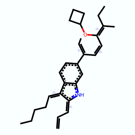 C=C/C=c1/[nH]c2cc(C(/C=C\C(OC3CCC3)=C(/C)CC)=C/C)ccc2/c1=C/CCCC